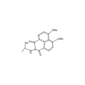 COc1ccc2c3c(ccc(OC)c13)C(=O)N(NC(C)O)C2=O